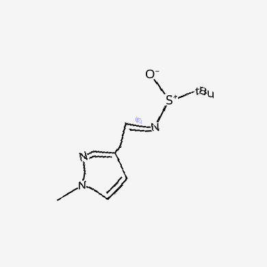 Cn1ccc(/C=N/[S+]([O-])C(C)(C)C)n1